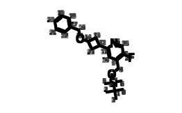 CC(C)(C)[Si](C)(C)OCc1cc(C2CC(OCc3ccccc3)C2)ncc1F